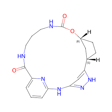 O=C1NCCCNC(=O)c2cccc(n2)Nc2cc([nH]n2)[C@H]2CC[C@H](C2)O1